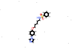 O=S(=O)(NCCCCCOc1ccc(-n2ccnc2)cc1)c1ccccc1